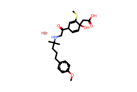 Br.COc1ccc(CCCC(C)(C)NCC(=O)C2C=CC(O)(CC(=O)O)C(SC)=C2)cc1